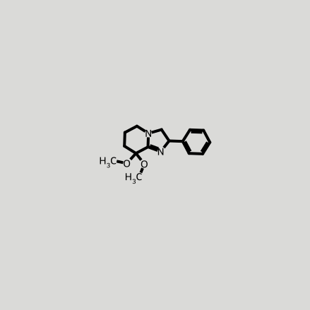 COC1(OC)CCCN2CC(c3ccccc3)N=C21